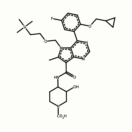 Cc1c(C(=O)NC2CCN(C(=O)O)CC2O)c2ncnc(-c3cc(F)ccc3OCC3CC3)c2n1COCC[Si](C)(C)C